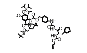 C=CCOC(=O)N[C@@H](Cc1ccccc1)C(=O)NCC(=O)Nc1ccc(COC(=O)Nc2cc(O[Si](C(C)C)(C(C)C)C(C)C)c(OC)cc2C(=O)N2CC3(CC3)C[C@H]2CO[Si](C)(C)C(C)(C)C)cc1